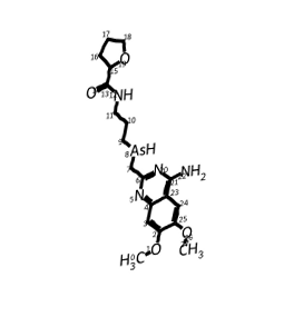 COc1cc2nc(C[AsH]CCCNC(=O)C3CCCO3)nc(N)c2cc1OC